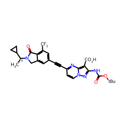 C[C@@H](C1CC1)N1Cc2cc(C#Cc3ccn4nc(NC(=O)OC(C)(C)C)c(C(=O)O)c4n3)cc(C(F)(F)F)c2C1=O